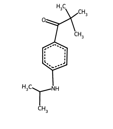 CC(C)Nc1ccc(C(=O)C(C)(C)C)cc1